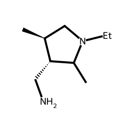 CCN1C[C@H](C)[C@@H](CN)C1C